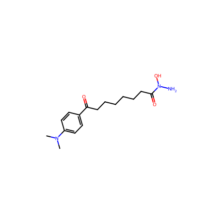 CN(C)c1ccc(C(=O)CCCCCCC(=O)N(N)O)cc1